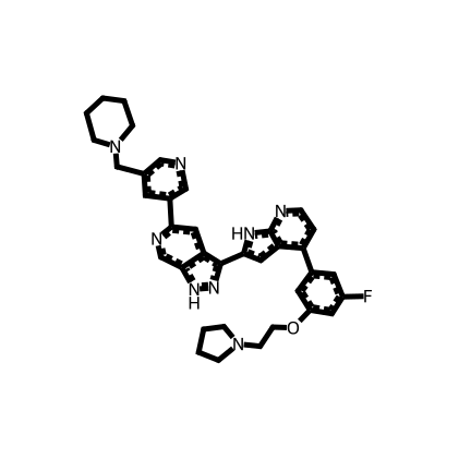 Fc1cc(OCCN2CCCC2)cc(-c2ccnc3[nH]c(-c4n[nH]c5cnc(-c6cncc(CN7CCCCC7)c6)cc45)cc23)c1